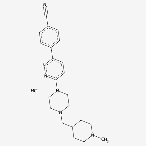 CN1CCC(CN2CCN(c3ccc(-c4ccc(C#N)cc4)nn3)CC2)CC1.Cl